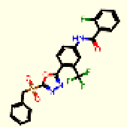 O=C(Nc1ccc(-c2nnc(S(=O)(=O)Cc3ccccc3)o2)c(C(F)(F)F)c1)c1ccccc1F